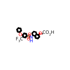 O=C(O)COc1cccc2c1CCC[C@H]2NS(=O)(=O)c1ccc(Oc2ccccc2)c(C(F)(F)F)c1